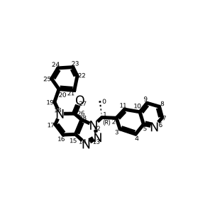 C[C@H](c1ccc2ncccc2c1)n1nnc2ccn(Cc3ccccc3)c(=O)c21